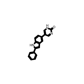 O=c1ncc(-c2ccc3[nH]c(-c4ccccc4)cc3c2)c[nH]1